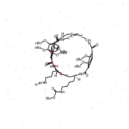 CCCCOc1c2ccc(c1OCCCC)C(=O)NCCN1C[C@H](CCCCNC(=O)OC(C)(C)C)NC(=O)c3ccc(c(OCCCC)c3OCCCC)C(=O)NCCN(CCNC2=O)CCNC(=O)c2ccc(c(OCCCC)c2OCCCC)C(=O)N[C@@H](CCCN=[N+]=[N-])C1